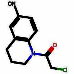 O=Nc1ccc2c(c1)CCCN2C(=O)CCl